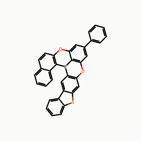 c1ccc(-c2cc3c4c(c2)Oc2ccc5ccccc5c2B4c2cc4c(cc2O3)sc2ccccc24)cc1